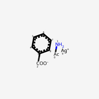 CC(N)=O.O=C([O-])c1ccccc1.[Ag+]